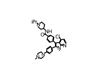 CC(C)N1CCC(NC(=O)c2ccc(-c3c(-c4ccc(N5CCN(C)CC5)cc4)n(C)c4nccc(Cl)c34)cc2)CC1